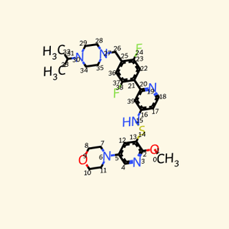 COc1ncc(N2CCOCC2)cc1SNc1ccnc(-c2cc(F)c(CN3CCN(C(C)C)CC3)cc2F)c1